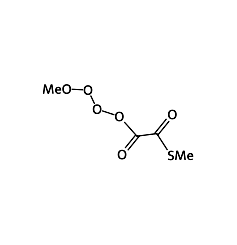 COOOOC(=O)C(=O)SC